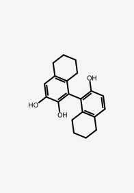 Oc1cc2c(c(-c3c(O)ccc4c3CCCC4)c1O)CCCC2